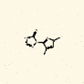 Cc1cn(C)nc1-n1nn[nH]c1=O